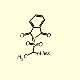 CCCCCCC(C)S(=O)(=O)N1C(=O)c2ccccc2C1=O